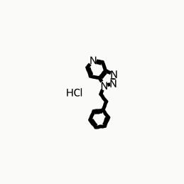 Cl.c1ccc(CCn2nnc3cnccc32)cc1